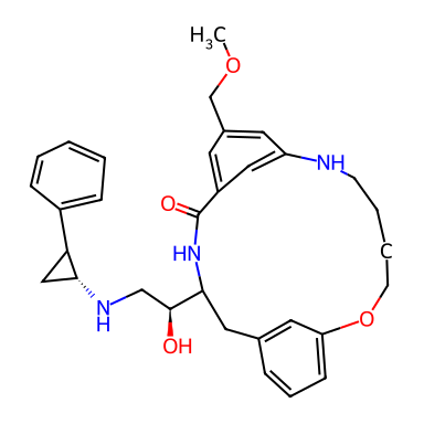 COCc1cc2cc(c1)C(=O)NC([C@@H](O)CN[C@@H]1CC1c1ccccc1)Cc1cccc(c1)OCCCCN2